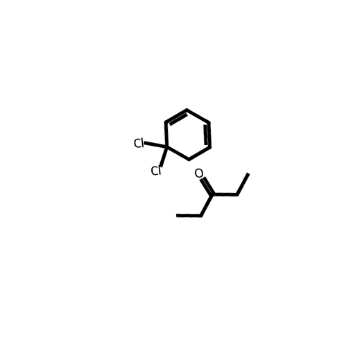 CCC(=O)CC.ClC1(Cl)C=CC=CC1